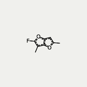 Cc1cc2oc(F)c(C)c2o1